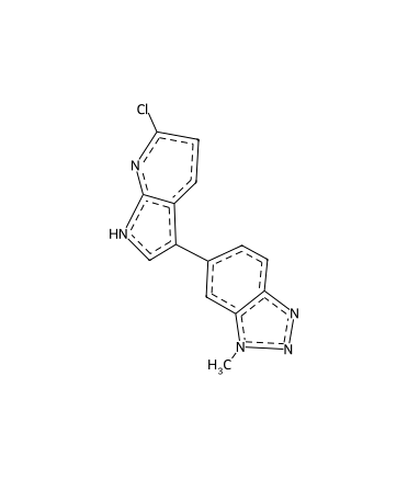 Cn1nnc2ccc(-c3c[nH]c4nc(Cl)ccc34)cc21